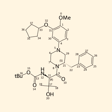 COc1ccc(N2CCN(C(=O)[C@H](NC(=O)OC(C)(C)C)C(C)(C)O)[C@@H](Cc3ccccc3)C2)cc1OC1CCCC1